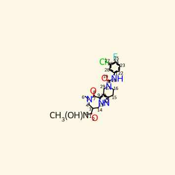 CN(O)C(=O)C1CN(C)C(=O)c2c3c(nn2C1)CCN(C(=O)Nc1ccc(F)c(Cl)c1)C3